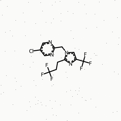 FC(F)(F)CCc1nc(C(F)(F)F)cn1Cc1ncc(Cl)cn1